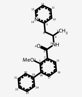 COc1c(C(=O)NC(C)Cc2ccccn2)cccc1-c1ccccc1